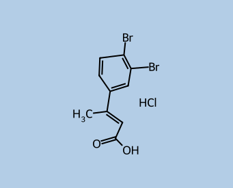 CC(=CC(=O)O)c1ccc(Br)c(Br)c1.Cl